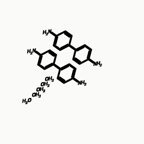 Nc1ccc(-c2ccc(N)cc2)cc1.Nc1ccc(-c2ccc(N)cc2)cc1.O.O.O.O.O